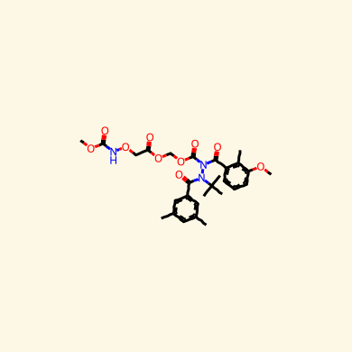 COC(=O)NOCC(=O)OCOC(=O)N(C(=O)c1cccc(OC)c1C)N(C(=O)c1cc(C)cc(C)c1)C(C)(C)C